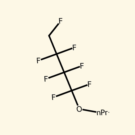 CC[CH]OC(F)(F)C(F)(F)C(F)(F)CF